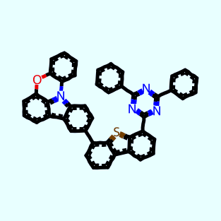 c1ccc(-c2nc(-c3ccccc3)nc(-c3cccc4c3sc3c(-c5ccc6c(c5)c5cccc7c5n6-c5ccccc5O7)cccc34)n2)cc1